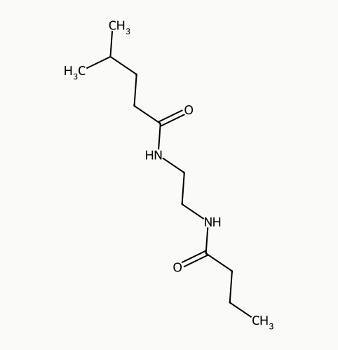 CCCC(=O)NCCNC(=O)CCC(C)C